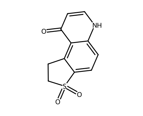 O=c1cc[nH]c2ccc3c(c12)CCS3(=O)=O